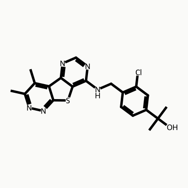 Cc1nnc2sc3c(NCc4ccc(C(C)(C)O)cc4Cl)ncnc3c2c1C